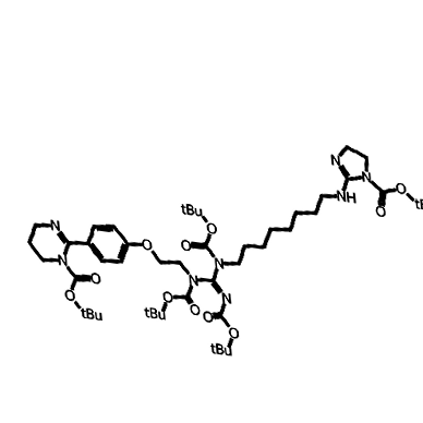 CC(C)(C)OC(=O)/N=C(/N(CCCCCCCCNC1=NCCN1C(=O)OC(C)(C)C)C(=O)OC(C)(C)C)N(CCOc1ccc(C2=NCCCN2C(=O)OC(C)(C)C)cc1)C(=O)OC(C)(C)C